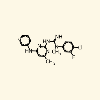 Cc1cc(Nc2cccnc2)nc(NC(=N)N(C)c2ccc(Cl)c(F)c2)n1